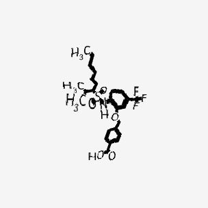 CCCCCCC(C(C)C)S(=O)(=O)Nc1ccc(C(F)(F)F)cc1OCc1ccc(C(=O)O)cc1